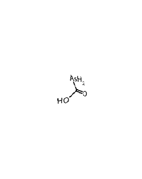 O=C(O)[AsH2]